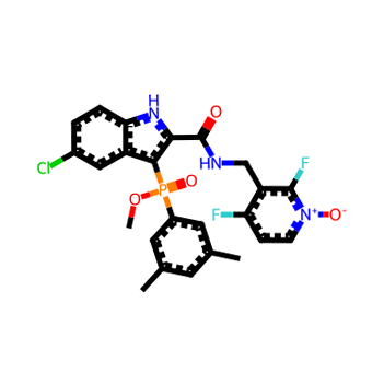 COP(=O)(c1cc(C)cc(C)c1)c1c(C(=O)NCc2c(F)cc[n+]([O-])c2F)[nH]c2ccc(Cl)cc12